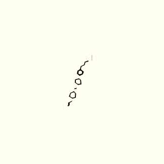 CCCCCc1ccc([C@H]2CC[C@H](CC[C@H]3CC[C@H](CC=CF)CC3)CC2)cc1